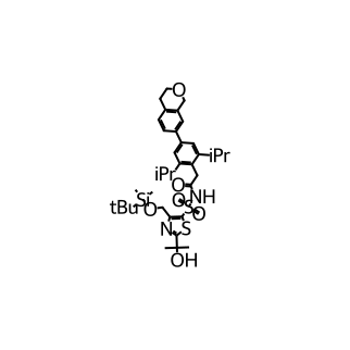 CC(C)c1cc(-c2ccc3c(c2)COCC3)cc(C(C)C)c1CC(=O)NS(=O)(=O)c1sc(C(C)(C)O)nc1CO[Si](C)(C)C(C)(C)C